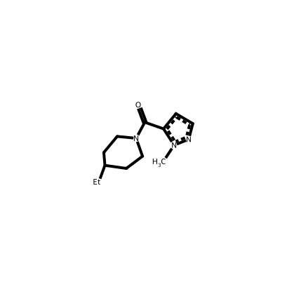 CCC1CCN(C(=O)c2ccnn2C)CC1